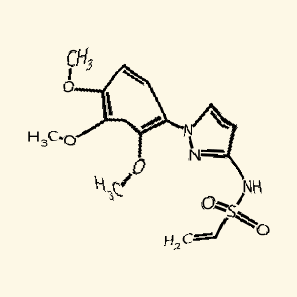 C=CS(=O)(=O)Nc1ccn(-c2ccc(OC)c(OC)c2OC)n1